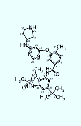 COc1c(NC(=O)c2ccc(C)c(Oc3cc(NC4CCNCC4)ncn3)c2)cc(C(C)(C)C)cc1NS(C)(=O)=O